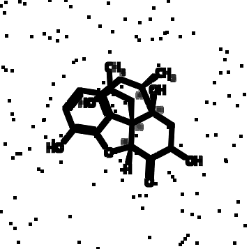 CC(O)C[C@]12c3c4ccc(O)c3O[C@H]1C(=O)C(O)C[C@@]2(O)[C@H](C)C4